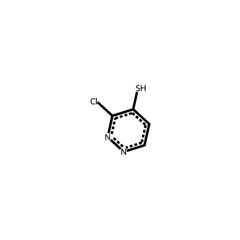 Sc1ccnnc1Cl